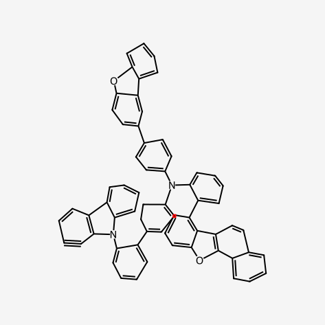 c1ccc2c3ccccc3n(-c3ccccc3C3=CC=C(N(c4ccc(-c5ccc6oc7ccccc7c6c5)cc4)c4ccccc4-c4cccc5oc6c7ccccc7ccc6c45)CC3)c2c#1